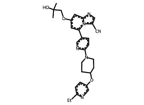 CCc1ccc(OC2CCN(c3ccc(-c4cc(OCC(C)(C)O)cc5ncc(C#N)n45)cn3)CC2)cn1